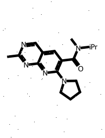 Cc1ncc2cc(C(=O)N(C)C(C)C)c(N3CCCC3)nc2n1